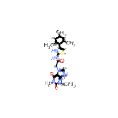 Cc1cc(C)c(C2=CSC(NC(=O)Cn3cnc4c3c(=O)n(C)c(=O)n4C)N2)c(C)c1